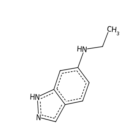 CCNc1ccc2cn[nH]c2c1